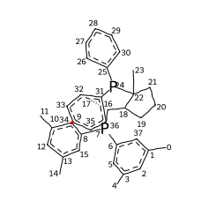 Cc1cc(C)cc(P(c2cc(C)cc(C)c2)[C@H](C)C2CCCC2(C)P(c2ccccc2)c2ccccc2)c1